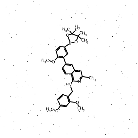 COc1ccc(CNc2nc(C)cc3cc(-c4cc(B5OC(C)(C)C(C)(C)O5)ccc4OC)ccc23)c(OC)c1